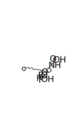 O=C(O)C(F)(F)F.O=C(O)CCNCc1cccc(OCCCCCCCCCc2ccccc2)c1